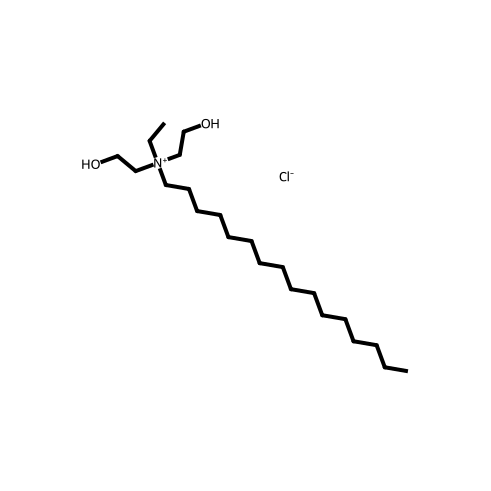 CCCCCCCCCCCCCCCC[N+](CC)(CCO)CCO.[Cl-]